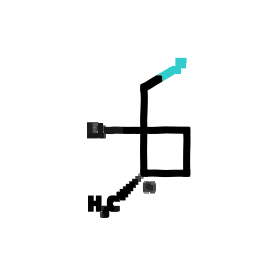 CCC1(CF)CC[C@@H]1C